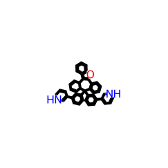 C1=CNCC(c2cccc(C3(c4cccc(C5=CNCC=C5)c4)c4ccccc4-c4oc5ccccc5c4C4C=CC=CC43)c2)=C1